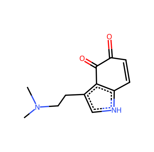 CN(C)CCc1c[nH]c2c1C(=O)C(=O)C=C2